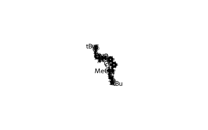 COc1nc(-c2cccc(-c3cccc(NC(=O)c4nc(C)c5c(n4)CN(CCO[Si](C)(C)C(C)(C)C)CC5)c3Cl)c2Cl)cnc1CN1CC(O[Si](C)(C)C(C)(C)C)C1